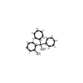 CCc1ccccc1C(S)(c1ccccc1)c1ccccc1